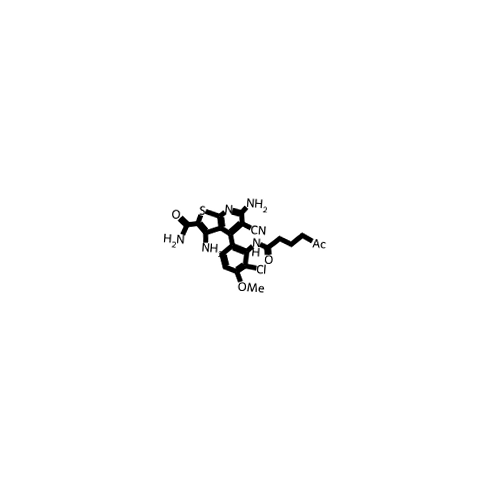 COc1ccc(-c2c(C#N)c(N)nc3sc(C(N)=O)c(N)c23)c(NC(=O)CCCC(C)=O)c1Cl